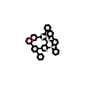 c1ccc(-c2ccc(-c3ccccc3)c(-c3cnc(-n4c5ccccc5c5ccc6c7ccccc7oc6c54)c(Cc4nc(-c5ccccc5)nc(-c5ccccc5)n4)c3)c2)cc1